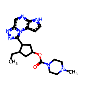 CCC1CC(OC(=O)N2CCN(C)CC2)CC1c1nnc2cnc3[nH]ccc3n12